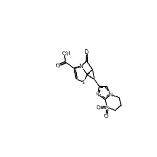 O=C(O)C1=CSC23C(C(=O)N12)C3c1cn2c(n1)S(=O)(=O)CCC2